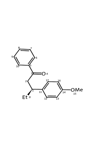 CC[C@@H](CC(=O)c1ccccc1)c1ccc(OC)cc1